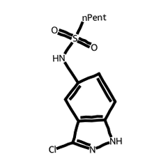 CCCCCS(=O)(=O)Nc1ccc2[nH]nc(Cl)c2c1